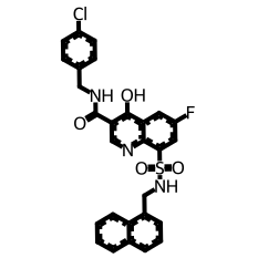 O=C(NCc1ccc(Cl)cc1)c1cnc2c(S(=O)(=O)NCc3cccc4ccccc34)cc(F)cc2c1O